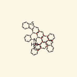 c1ccc(-c2ccc3c([nH]c4ccccc43)c2-c2ccccc2N(c2ccccc2-c2cccc3sc4ccccc4c23)c2ccccc2-c2cccc3sc4ccccc4c23)cc1